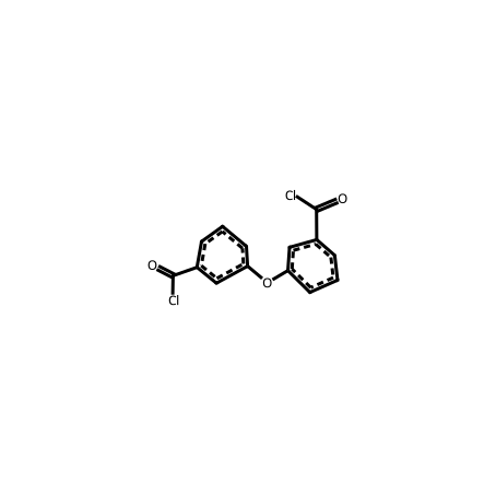 O=C(Cl)c1cccc(Oc2cccc(C(=O)Cl)c2)c1